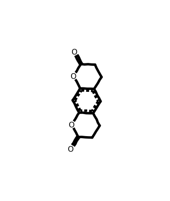 O=C1CCc2cc3c(cc2O1)OC(=O)CC3